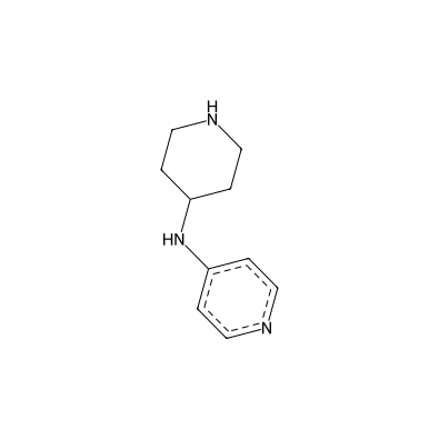 c1cc(NC2CCNCC2)ccn1